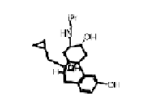 CC(C)CN[C@@H]1C[C@@]2(O)[C@H]3Cc4ccc(O)cc4[C@@]2(CCN3CC2CC2)C[C@H]1O